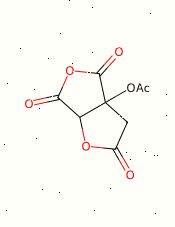 CC(=O)OC12CC(=O)OC1C(=O)OC2=O